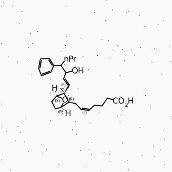 CCCC(c1ccccc1)C(O)/C=C/[C@H]1[C@@H](C/C=C\CCCC(=O)O)[C@H]2CC[C@@H]1O2